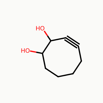 OC1C#CCCCCC1O